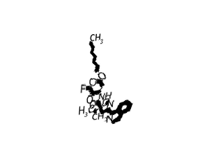 CCCCCCCCOC(=O)C[C@H](NC(=O)[C@]1(C(C)C)CC(c2nccc3ccccc23)=NO1)C(=O)CF